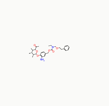 CCN(COCCc1ccccc1)C(=O)OCc1ccc(OC2OC(C(C)=O)C(C)[C@H](C)[C@@H]2C)c(N)c1